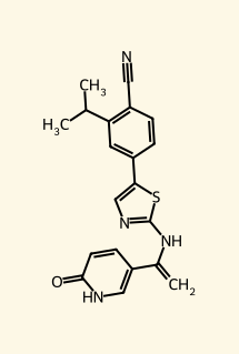 C=C(Nc1ncc(-c2ccc(C#N)c(C(C)C)c2)s1)c1ccc(=O)[nH]c1